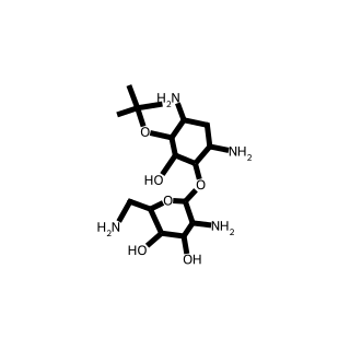 CC(C)(C)OC1C(N)CC(N)C(OC2OC(CN)C(O)C(O)C2N)C1O